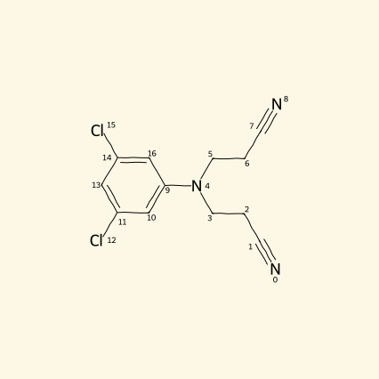 N#CCCN(CCC#N)c1cc(Cl)cc(Cl)c1